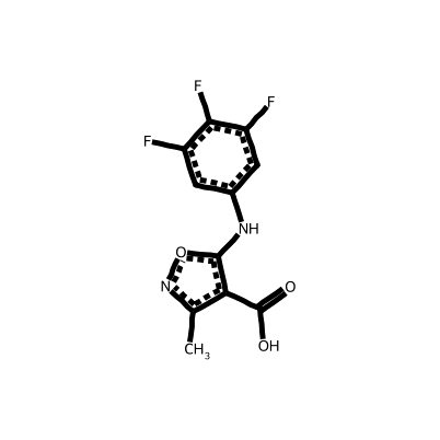 Cc1noc(Nc2cc(F)c(F)c(F)c2)c1C(=O)O